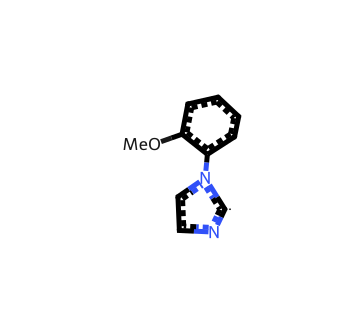 COc1ccccc1-n1[c]ncc1